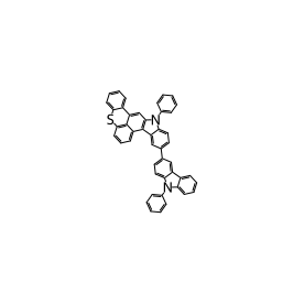 c1ccc(-n2c3ccccc3c3cc(-c4ccc5c(c4)c4c6cccc7c6c(cc4n5-c4ccccc4)-c4ccccc4S7)ccc32)cc1